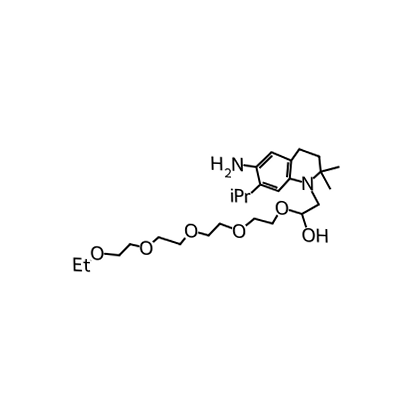 CCOCCOCCOCCOCCOC(O)CN1c2cc(C(C)C)c(N)cc2CCC1(C)C